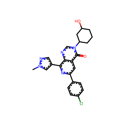 Cn1cc(-c2nc(-c3ccc(Cl)cc3)cc3c(=O)n(C4CCCC(O)C4)cnc23)cn1